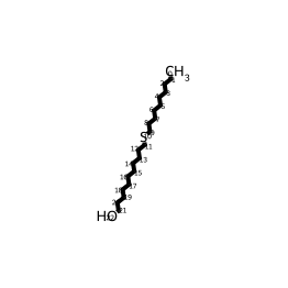 CCCCCCCCCCSCCCCCCCCCCCO